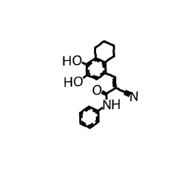 N#CC(=Cc1cc(O)c(O)c2c1CCCC2)C(=O)Nc1ccccc1